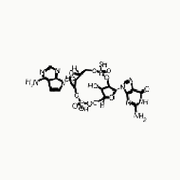 Nc1nc2c(ncn2[C@@H]2O[C@@H]3COP(=O)(O)OC4C(O)[C@@H](COP(=O)(S)OC2C3O)O[C@H]4n2ccc3c(N)ncnc32)c(=O)[nH]1